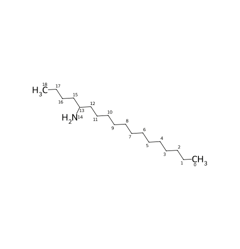 CCCCCCCCCCCCCC(N)CCCC